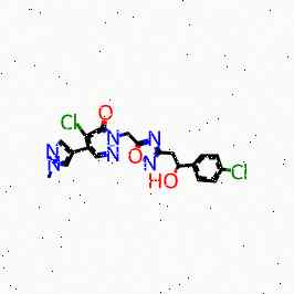 Cn1cc(-c2cnn(Cc3nc(CC(O)c4ccc(Cl)cc4)no3)c(=O)c2Cl)cn1